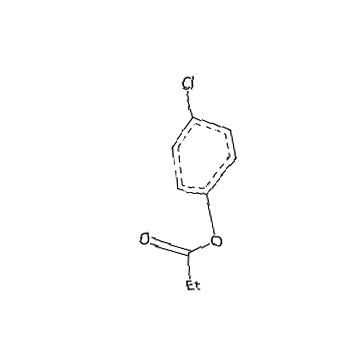 [CH2]CC(=O)Oc1ccc(Cl)cc1